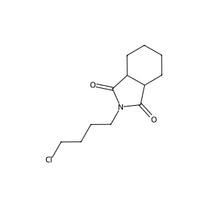 O=C1C2CCCCC2C(=O)N1CCCCCl